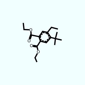 CCOC(=O)c1cc(CC)c(C(C)(C)C)cc1C(=O)OCC